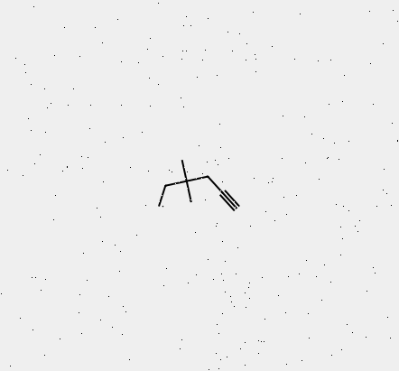 C#CCC(C)(C)C[CH2]